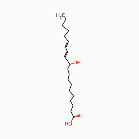 CCCCCC=CC=CC(O)CCCCCCCCCC(=O)O